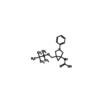 CC(C)(C)[Si](C)(C)OCC12CN(c3ccccc3)CC1(NC(=O)O)C2